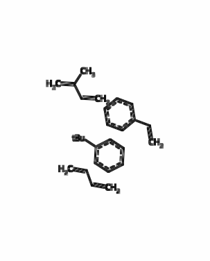 C=CC(=C)C.C=CC=C.C=Cc1ccccc1.CC(C)(C)c1ccccc1